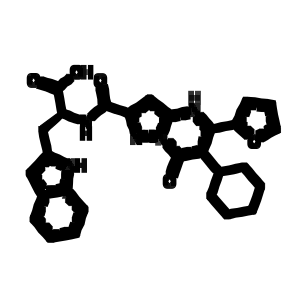 O=C(N[C@@H](Cc1cc2ccccc2[nH]1)C(=O)O)c1cc2[nH]c(-c3ccco3)c(C3CCCCC3)c(=O)n2n1